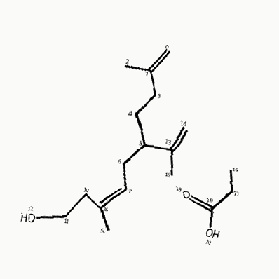 C=C(C)CCC(CC=C(C)CCO)C(=C)C.CCC(=O)O